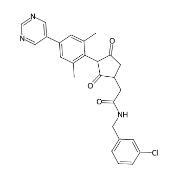 Cc1cc(-c2cncnc2)cc(C)c1C1C(=O)CC(CC(=O)NCc2cccc(Cl)c2)C1=O